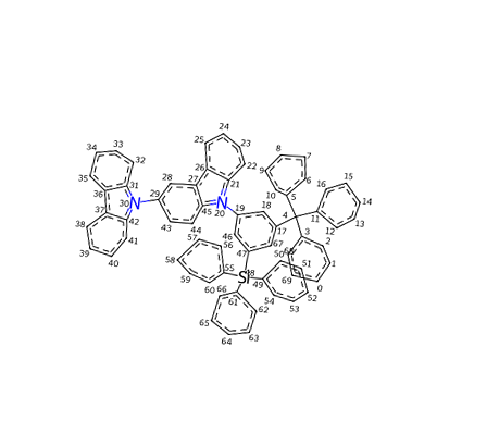 c1ccc(C(c2ccccc2)(c2ccccc2)c2cc(-n3c4ccccc4c4cc(-n5c6ccccc6c6ccccc65)ccc43)cc([Si](c3ccccc3)(c3ccccc3)c3ccccc3)c2)cc1